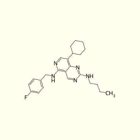 CCCCNc1ncc2c(NCc3ccc(F)cc3)ncc(C3CCCCC3)c2n1